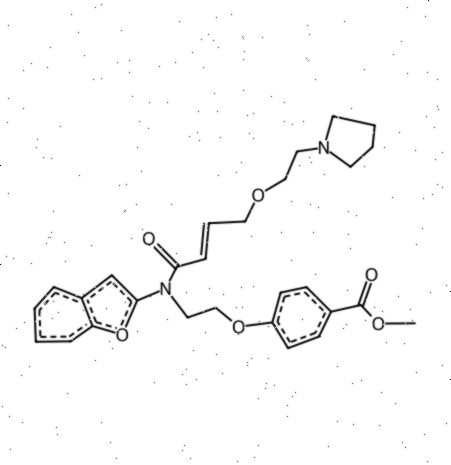 COC(=O)c1ccc(OCCN(C(=O)C=CCOCCN2CCCC2)c2cc3ccccc3o2)cc1